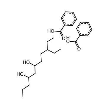 CCCC(O)CC(O)CCC(CC)CC.O=C(O)c1ccccc1.O=C(O)c1ccccc1